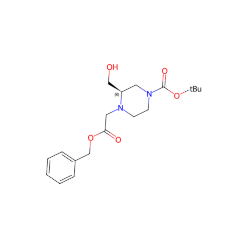 CC(C)(C)OC(=O)N1CCN(CC(=O)OCc2ccccc2)[C@@H](CO)C1